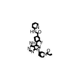 C=CC(=O)N1CC2CC1C(n1nc(-c3ccc(C(=O)Nc4ccccn4)cc3F)c3c(N)ncnc31)C2